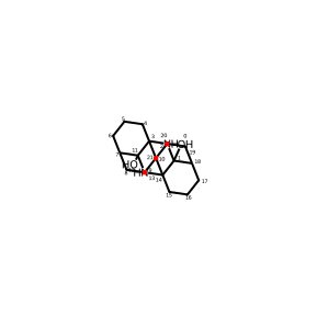 OC12NC34CCCC(CCC3)C4(O)NC13CCCC2CCC3